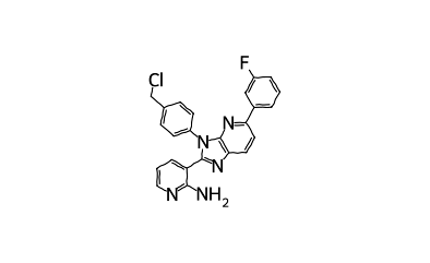 Nc1ncccc1-c1nc2ccc(-c3cccc(F)c3)nc2n1-c1ccc(CCl)cc1